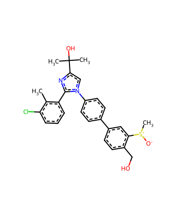 Cc1c(Cl)cccc1-c1nc(C(C)(C)O)cn1-c1ccc(-c2ccc(CO)c([S+](C)[O-])c2)cc1